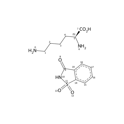 NCCCC[C@H](N)C(=O)O.O=C1NS(=O)(=O)c2ccccc21